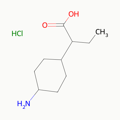 CCC(C(=O)O)C1CCC(N)CC1.Cl